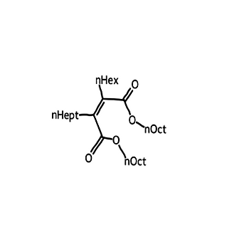 CCCCCCCCOC(=O)C(CCCCCC)=C(CCCCCCC)C(=O)OCCCCCCCC